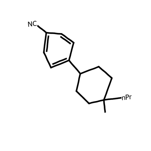 CCCC1(C)CCC(c2ccc(C#N)cc2)CC1